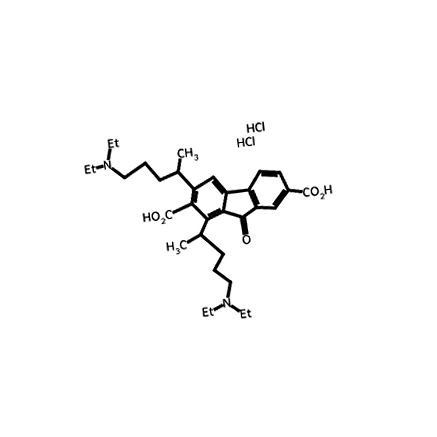 CCN(CC)CCCC(C)c1cc2c(c(C(C)CCCN(CC)CC)c1C(=O)O)C(=O)c1cc(C(=O)O)ccc1-2.Cl.Cl